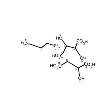 NCCN.O=C(O)C(O)C(O)C(=O)O.O=C(O)CC(O)C(=O)O